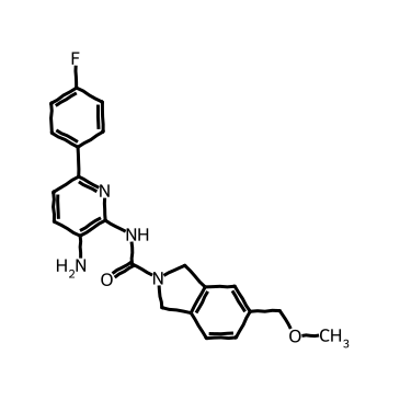 COCc1ccc2c(c1)CN(C(=O)Nc1nc(-c3ccc(F)cc3)ccc1N)C2